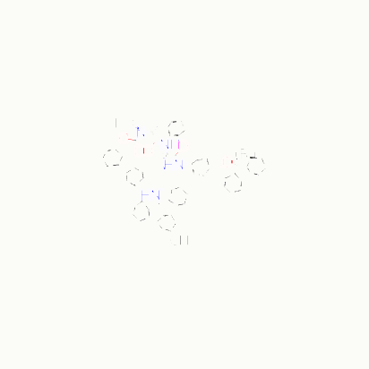 Cc1ccc(C(NCCCC[C@H](NC(=O)[C@H](Cc2ccccc2)N(C)C(=O)OC2c3ccccc3-c3ccccc32)C(=O)Nc2ccc(CO[Si](c3ccccc3)(c3ccccc3)C(C)(C)C)cc2)(c2ccccc2)c2ccccc2)cc1